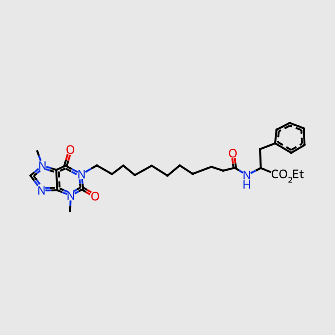 CCOC(=O)C(Cc1ccccc1)NC(=O)CCCCCCCCCCn1c(=O)c2c(ncn2C)n(C)c1=O